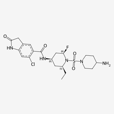 CC[C@H]1C[C@@H](NC(=O)c2cc3c(cc2Cl)NC(=O)C3)C[C@@H](F)N1S(=O)(=O)N1CCC(N)CC1